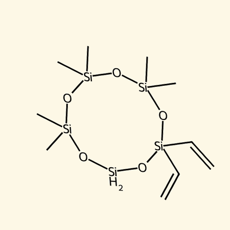 C=C[Si]1(C=C)O[SiH2]O[Si](C)(C)O[Si](C)(C)O[Si](C)(C)O1